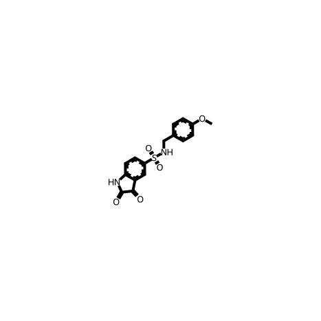 COc1ccc(CNS(=O)(=O)c2ccc3c(c2)C(=O)C(=O)N3)cc1